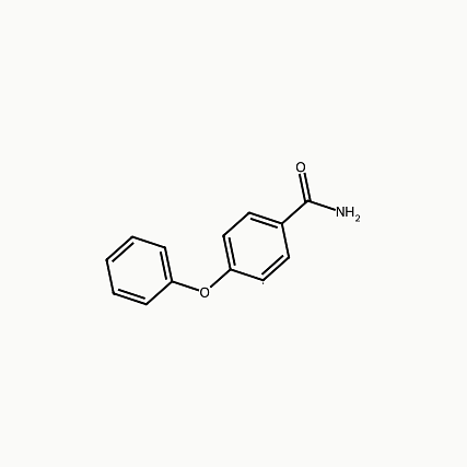 NC(=O)c1c[c]c(Oc2ccccc2)cc1